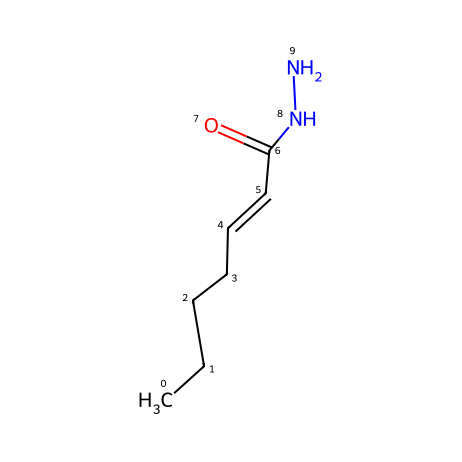 CCCC/C=C/C(=O)NN